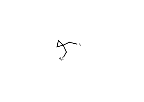 CCC1(CC)[CH]C1